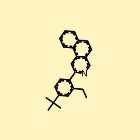 CCc1cc(C(C)(C)C)ccc1-c1cc2c(ccc3ccccc32)cn1